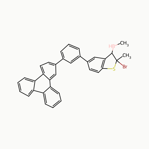 CBC1c2cc(-c3cccc(-c4ccc5c6ccccc6c6ccccc6c5c4)c3)ccc2SC1(C)Br